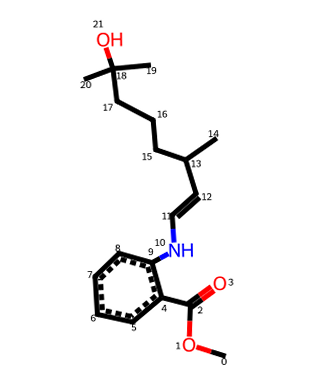 COC(=O)c1ccccc1N/C=C/C(C)CCCC(C)(C)O